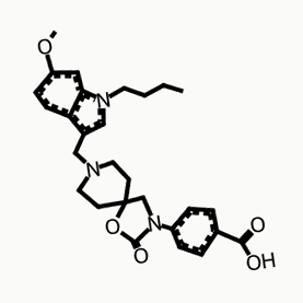 CCCCn1cc(CN2CCC3(CC2)CN(c2ccc(C(=O)O)cc2)C(=O)O3)c2ccc(OC)cc21